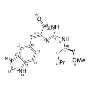 COC[C@@H](CC(C)C)NC1=N/C(=C\c2ccc3[nH]cnc3c2)C(=O)N1